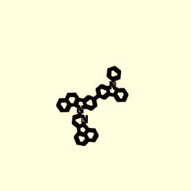 c1ccc(-n2c3ccccc3c3cc(-c4ccc5c(c4)c4ccc6ccccc6c4n5-c4ccc5c(n4)-c4cccc6cccc-5c46)ccc32)cc1